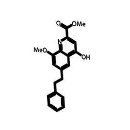 COC(=O)c1cc(O)c2cc(CCc3ccccc3)cc(OC)c2n1